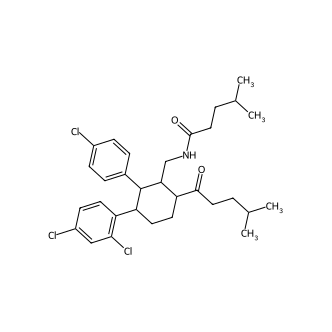 CC(C)CCC(=O)NCC1C(C(=O)CCC(C)C)CCC(c2ccc(Cl)cc2Cl)C1c1ccc(Cl)cc1